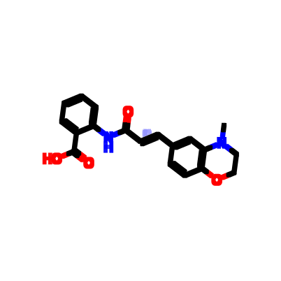 CN1CCOc2ccc(/C=C/C(=O)Nc3ccccc3C(=O)O)cc21